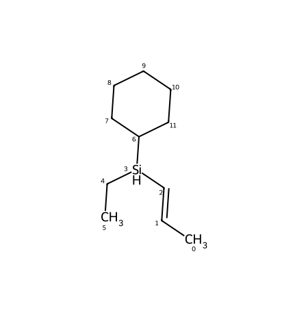 CC=C[SiH](CC)C1CCCCC1